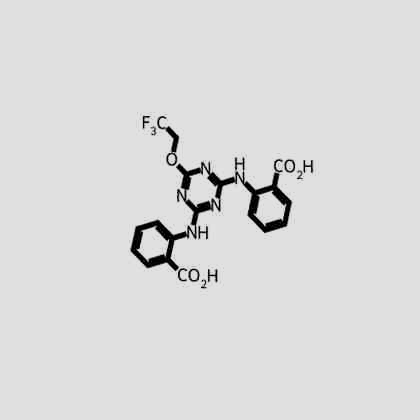 O=C(O)c1ccccc1Nc1nc(Nc2ccccc2C(=O)O)nc(OCC(F)(F)F)n1